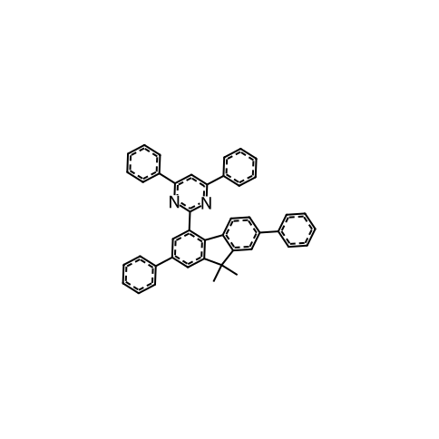 CC1(C)c2cc(-c3ccccc3)ccc2-c2c(-c3nc(-c4ccccc4)cc(-c4ccccc4)n3)cc(-c3ccccc3)cc21